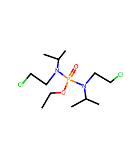 CCOP(=O)(N(CCCl)C(C)C)N(CCCl)C(C)C